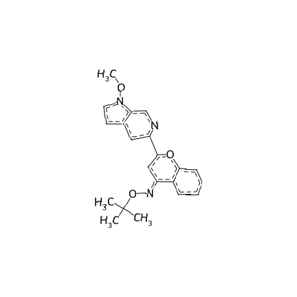 COn1ccc2cc(-c3cc(=NOC(C)(C)C)c4ccccc4o3)ncc21